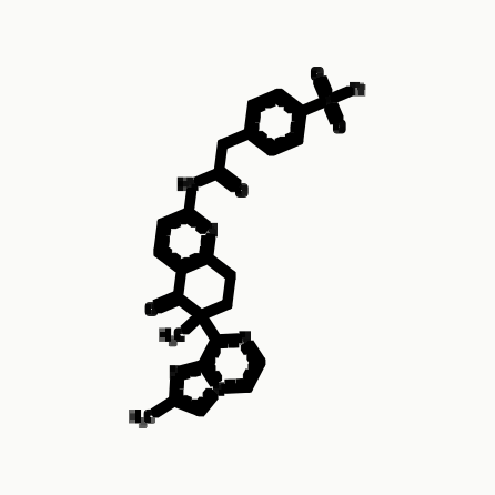 CCS(=O)(=O)c1ccc(CC(=O)Nc2ccc3c(n2)CCC(C)(c2nccn4cc(C)nc24)C3=O)cc1